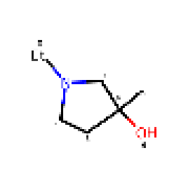 CCN1CCC(C)(O)C1